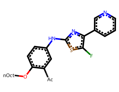 CCCCCCCCOc1ccc(Nc2nc(-c3cccnc3)c(F)s2)cc1C(C)=O